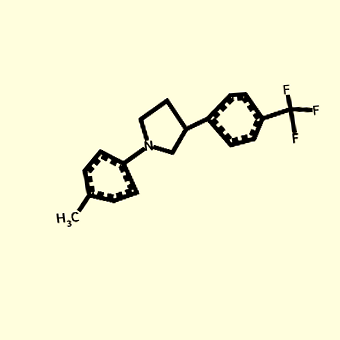 Cc1ccc(N2CCC(c3ccc(C(F)(F)F)cc3)C2)cc1